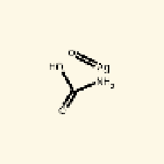 NC(=O)O.[O]=[Ag]